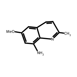 COc1cc(N)c2nc(C)ccc2c1